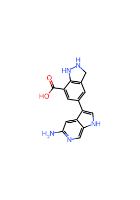 Nc1cc2c(-c3cc4c(c(C(=O)O)c3)NNC4)c[nH]c2cn1